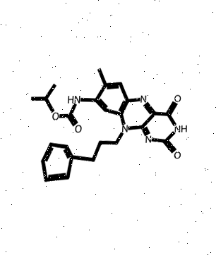 Cc1cc2nc3c(=O)[nH]c(=O)nc-3n(CCCc3ccccc3)c2cc1NC(=O)OC(C)C